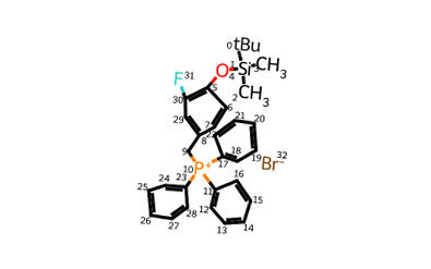 CC(C)(C)[Si](C)(C)Oc1ccc(C[P+](c2ccccc2)(c2ccccc2)c2ccccc2)cc1F.[Br-]